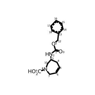 O=C(N[C@H]1CC=CCN(C(=O)O)C1)OCc1ccccc1